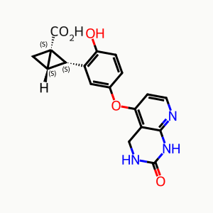 O=C1NCc2c(Oc3ccc(O)c([C@@H]4[C@@H]5C[C@@]45C(=O)O)c3)ccnc2N1